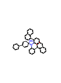 NC1(N(c2ccccc2-c2cccc3ccccc23)c2ccccc2-c2cccc3ccccc23)C=CC(c2ccccc2)=CC1